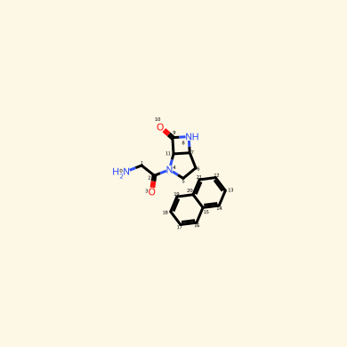 NCC(=O)N1CCC2NC(=O)C21.c1ccc2ccccc2c1